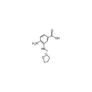 Nc1ccc(C(=O)O)cc1NC[C@@H]1CCCO1